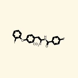 O=C(O)/C(=C\c1ccc(Oc2ccccc2I)cc1)NC(=O)c1ccc(F)cc1